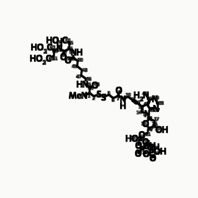 CNC(CSSCCC(=O)NCC#Cc1cn([C@H]2C[C@@H](O)[C@@H](COP(=O)(O)OP(=O)(O)OP(=O)(O)O)O2)c2ncnc(N)c12)C(=O)NCCCCCC(=O)NC(CC(=O)O)C(=O)NC(CC(=O)O)C(=O)O